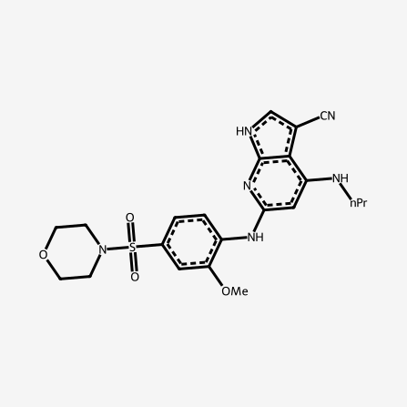 CCCNc1cc(Nc2ccc(S(=O)(=O)N3CCOCC3)cc2OC)nc2[nH]cc(C#N)c12